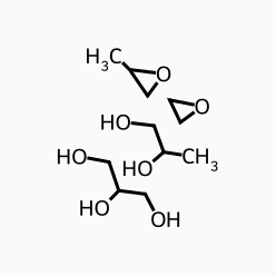 C1CO1.CC(O)CO.CC1CO1.OCC(O)CO